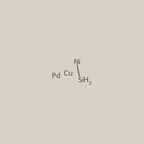 [Cu].[Pd].[SiH3][Ni]